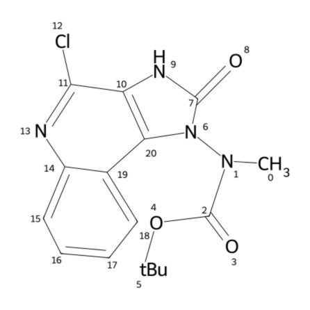 CN(C(=O)OC(C)(C)C)n1c(=O)[nH]c2c(Cl)nc3ccccc3c21